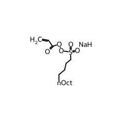 C=CC(=O)OOS(=O)(=O)CCCCCCCCCCCC.[NaH]